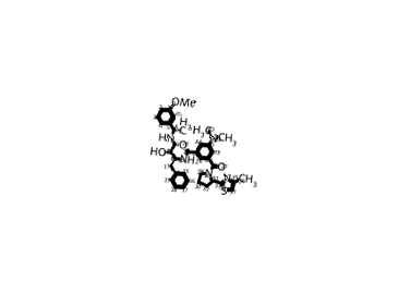 COc1cccc([C@H](C)NC[C@@H](O)[C@H](Cc2ccccc2)NC(=O)c2cc(C(=O)N3CCCC3c3nc(C)cs3)cc(N(C)C)c2)c1